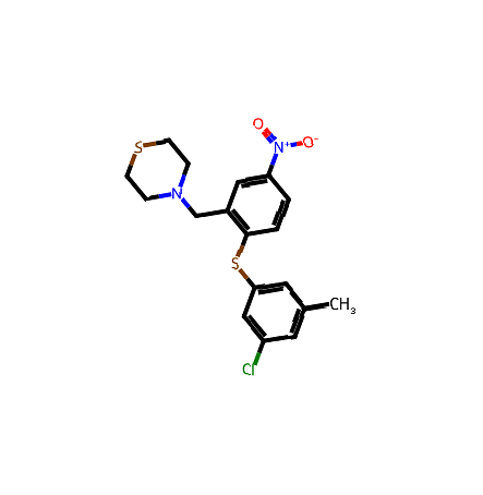 Cc1cc(Cl)cc(Sc2ccc([N+](=O)[O-])cc2CN2CCSCC2)c1